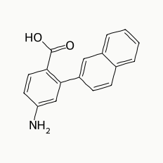 Nc1ccc(C(=O)O)c(-c2ccc3ccccc3c2)c1